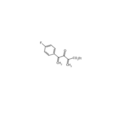 C=C(C(=O)OCC)C(=O)C(=C)c1ccc(F)cc1